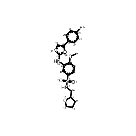 COc1ccc(S(=O)(=O)NCC2CCCO2)cc1Nc1ncc(-c2ccc(F)cc2)o1